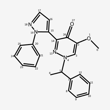 COc1cn(C(C)c2ccccc2)nc(-c2ccnn2-c2ccccc2)c1=O